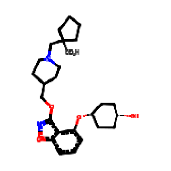 O=C(O)C1(CN2CCC(COc3noc4cccc(O[C@H]5CC[C@@H](O)CC5)c34)CC2)CCCC1